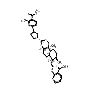 C=C1CCC2[C@]3(C)CO[C@@H](C4CCC(c5ccc(C(=O)OC)c(O)n5)C4)O[C@@H]3CC[C@@]2(C)[C@@H]1CCOc1ncccc1C(=O)O